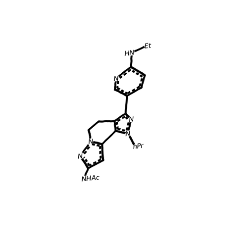 CCCn1nc(-c2ccc(NCC)nc2)c2c1-c1cc(NC(C)=O)nn1CC2